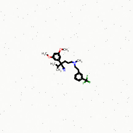 COc1cc(OC)cc(C(C#N)(CCCN(C)CCc2cccc(C(F)(F)F)c2)C(C)C)c1